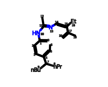 C=C(/C=C\C(=C/C)C(CCC)CCCC)N/C(C)=N/C=C(/CC)C(=C)C